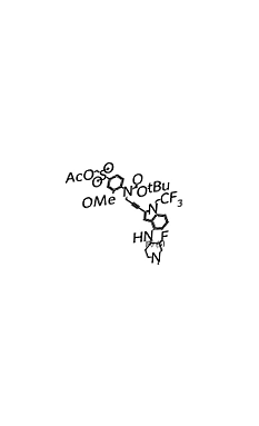 COc1cc(S(=O)(=O)COC(C)=O)ccc1N(CC#Cc1cc2c(N[C@@H]3CCN(C)C[C@@H]3F)cccc2n1CC(F)(F)F)C(=O)OC(C)(C)C